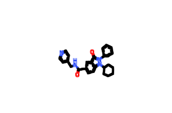 O=C(NCc1ccncc1)c1ccc2c(c1)c(=O)n(-c1ccccc1)n2C1CCCCC1